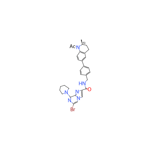 CC(=O)N1c2ccc(-c3ccc(CNC(=O)c4cn5cc(Br)nc(N6CCCCC6)c5n4)cc3)cc2CC[C@@H]1C